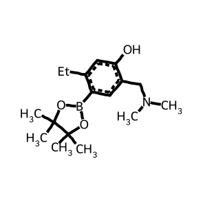 CCc1cc(O)c(CN(C)C)cc1B1OC(C)(C)C(C)(C)O1